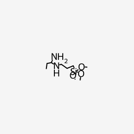 CCC(N)NCCC[Si](OC)(OC)OC